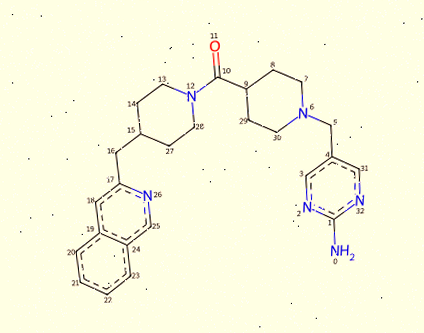 Nc1ncc(CN2CCC(C(=O)N3CCC(Cc4cc5ccccc5cn4)CC3)CC2)cn1